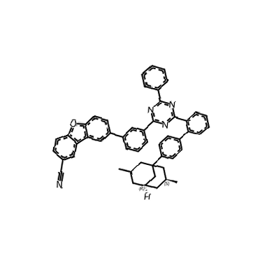 CC1C[C@@H]2C[C@H](C)CC(c3ccc(-c4ccccc4-c4nc(-c5ccccc5)nc(-c5cccc(-c6ccc7oc8ccc(C#N)cc8c7c6)c5)n4)cc3)(C1)C2